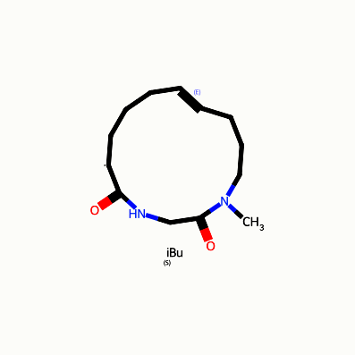 CC[C@H](C)C1NC(=O)[CH]CCC/C=C/CCCN(C)C1=O